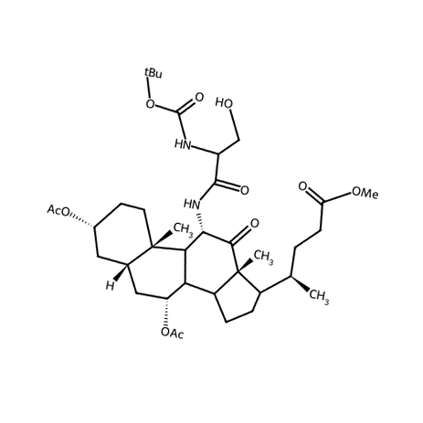 COC(=O)CC[C@@H](C)C1CCC2C3C([C@H](NC(=O)C(CO)NC(=O)OC(C)(C)C)C(=O)[C@@]21C)[C@@]1(C)CC[C@@H](OC(C)=O)C[C@H]1C[C@H]3OC(C)=O